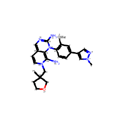 COc1cc(-c2cnn(C)c2)ccc1N1C(N)=NC=C2C=CN(CC3(C)CCOC3)C(N)=C21